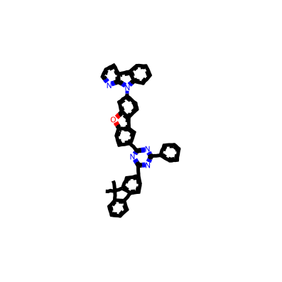 CC1(C)c2ccccc2-c2ccc(-c3nc(-c4ccccc4)nc(-c4ccc5oc6cc(-n7c8ccccc8c8cccnc87)ccc6c5c4)n3)cc21